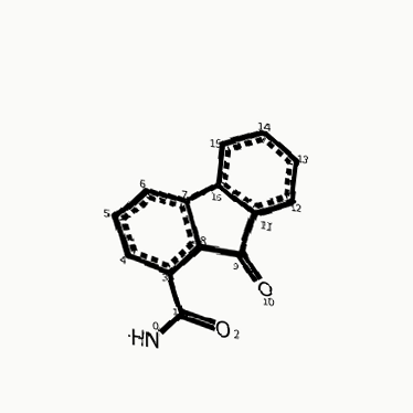 [NH]C(=O)c1cccc2c1C(=O)c1ccccc1-2